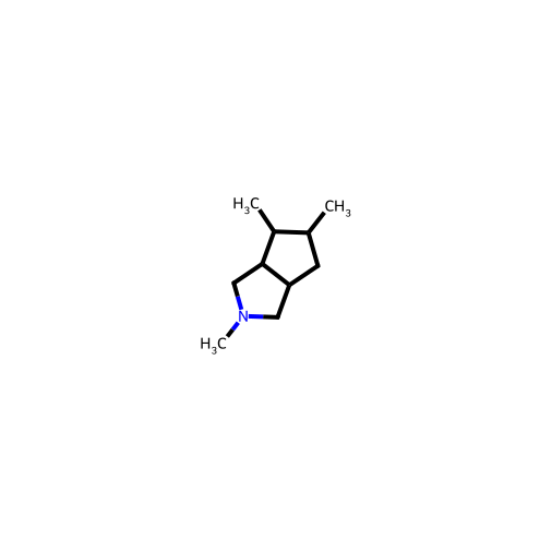 CC1CC2CN(C)CC2C1C